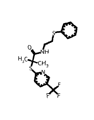 CC(C)(Sc1ccc(C(F)(F)F)cn1)C(=O)NCCSc1ccccc1